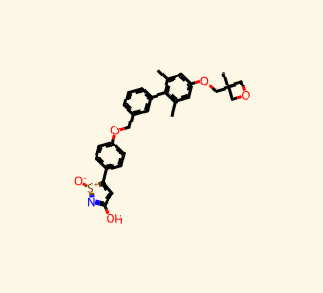 Cc1cc(OCC2(C)COC2)cc(C)c1-c1cccc(COc2ccc(-c3cc(O)n[s+]3[O-])cc2)c1